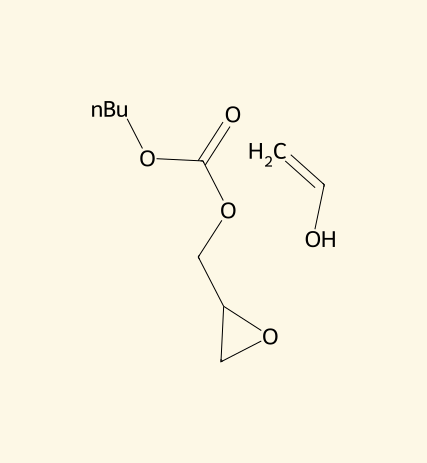 C=CO.CCCCOC(=O)OCC1CO1